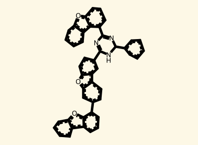 c1ccc(C2N=C(c3cccc4oc5ccccc5c34)N=C(c3ccc4oc5cc(-c6cccc7c6oc6ccccc67)ccc5c4c3)N2)cc1